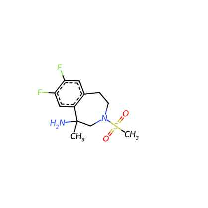 CC1(N)CN(S(C)(=O)=O)CCc2cc(F)c(F)cc21